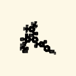 CN1CCC(N2CC(C(=O)N3CC[C@@H](N(C)C(=O)c4cc(C(F)(F)F)cc(C(F)(F)F)c4)[C@H](c4ccc(Cl)c(Cl)c4)C3)CC2=O)CC1.O=C(O)C(F)(F)F